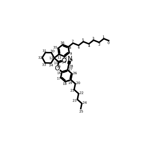 CCCCCCCCc1ccc(C2(C(=O)Oc3ccc(CCCCCC)cc3C#N)CCCCC2)cc1